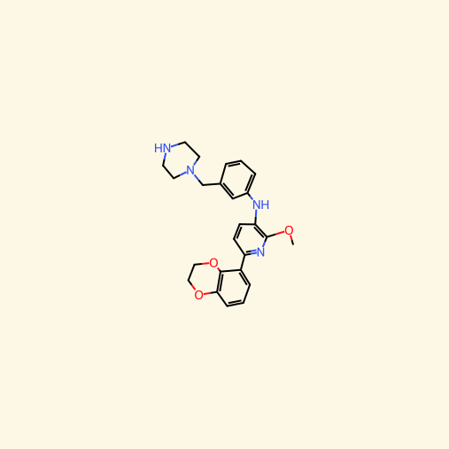 COc1nc(-c2cccc3c2OCCO3)ccc1Nc1cccc(CN2CCNCC2)c1